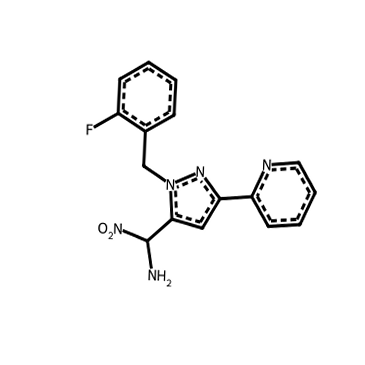 NC(c1cc(-c2ccccn2)nn1Cc1ccccc1F)[N+](=O)[O-]